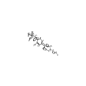 CCC1COC(C2=CCC(OCC(F)(F)F)C=C2)OC1